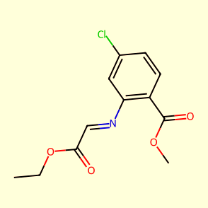 CCOC(=O)C=Nc1cc(Cl)ccc1C(=O)OC